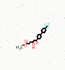 CCOC(=O)CC/C(O)=C/C(=O)c1ccc(-c2ccc(C(F)(F)F)cc2)cc1